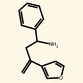 C=C(CC(N)c1ccccc1)c1ccoc1